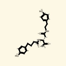 NC(=O)[C@@H](CC(=O)NCCc1ccc(O)cc1)NC(=O)CCCc1ccc(O)cc1